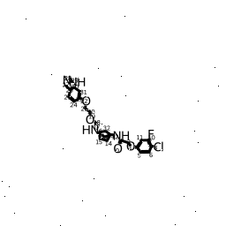 O=C(COc1ccc(Cl)c(F)c1)NC12CCC(NCOCCOc3ccc4cn[nH]c4c3)(C1)C2